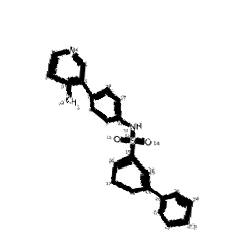 Cc1ccncc1-c1ccc(NS(=O)(=O)c2cccc(-c3ccccc3)c2)cc1